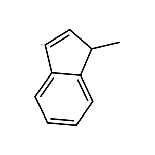 CC1C=[C]c2ccccc21